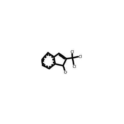 [O]C1C(C(Cl)(Cl)Cl)=Cc2ccccc21